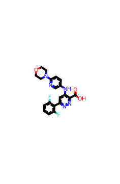 O=C(O)c1nnc(-c2c(F)cccc2F)cc1Nc1ccc(N2CCOCC2)nc1